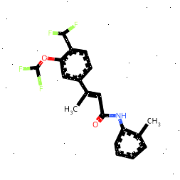 C/C(=C\C(=O)Nc1ccccc1C)c1ccc(C(F)F)c(OC(F)F)c1